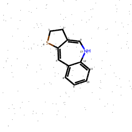 C1=C2CCSC2=Cc2ccccc2N1